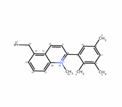 Cc1cc(C)c(C)c(-c2ccc3c(CC(C)C)cccc3[n+]2C)c1